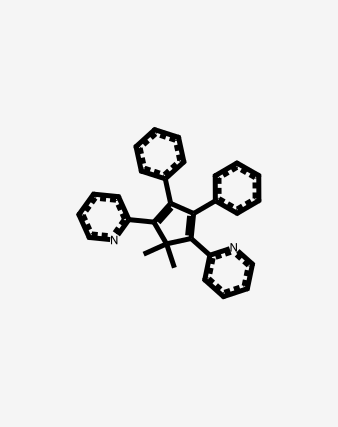 CC1(C)C(c2ccccn2)=C(c2ccccc2)C(c2ccccc2)=C1c1ccccn1